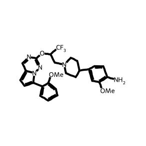 COc1cc(C2CCN(CC(Oc3ncc4ccc(-c5ccccc5OC)n4n3)C(F)(F)F)CC2)ccc1N